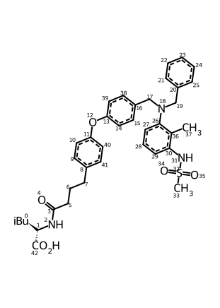 CC[C@H](C)[C@H](NC(=O)CCCc1ccc(Oc2ccc(CN(Cc3ccccc3)c3cccc(NS(C)(=O)=O)c3C)cc2)cc1)C(=O)O